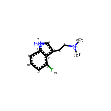 CCN(CC)CCc1c[nH]c2cccc(F)c12